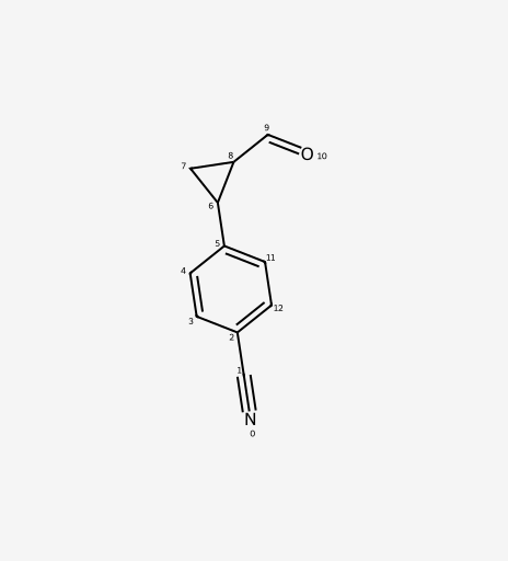 N#Cc1ccc(C2CC2C=O)cc1